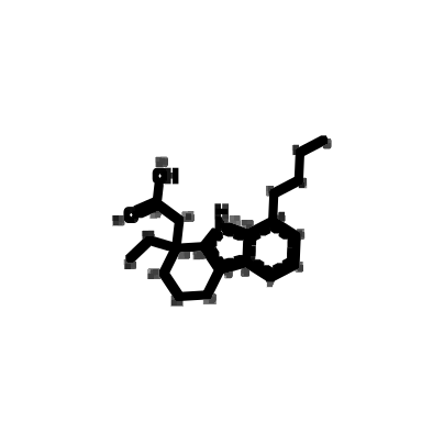 CCCCc1cccc2c3c([nH]c12)C(CC)(CC(=O)O)CCC3